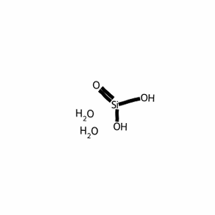 O.O.O=[Si](O)O